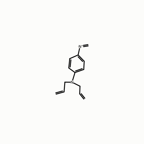 C=CCN(CC=C)c1ccc([N+]=C)cc1